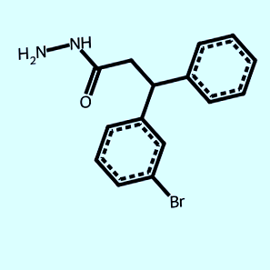 NNC(=O)CC(c1ccccc1)c1cccc(Br)c1